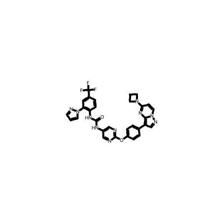 O=C(Nc1cnc(Oc2ccc(-c3cnn4ccc(N5CCC5)nc34)cc2)nc1)Nc1ccc(C(F)(F)F)cc1-n1cccn1